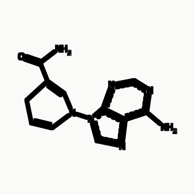 NC(=O)C1=CN(n2cnc3c(N)ncnc32)C=CC1